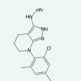 CCCNc1[nH]nc2c1CCCN2c1c(C)cc(C)cc1Cl